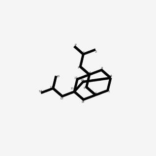 CC(C)CC12C[C]3CC(C1)CC(CC(C)C)(C3)C2